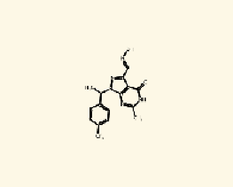 Cc1nc2c(c(C=NO)nn2C(C)c2ccc(C(F)(F)F)cc2)c(=O)[nH]1